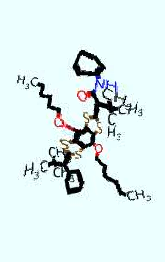 CCCCCCOc1c2c(c(OCCCCCC)c3c1SC(=C(c1ccccc1)C(C)(C)C)S3)SC(=C(C(=O)Nc1ccccc1)C(C)(C)C)S2